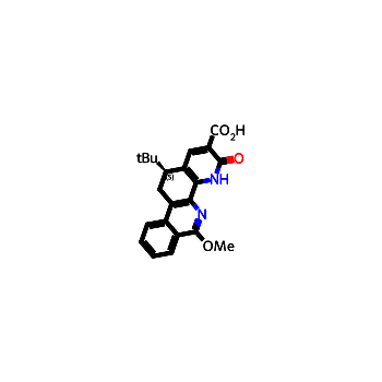 COc1nc2c(c3ccccc13)C[C@@H](C(C)(C)C)c1cc(C(=O)O)c(=O)[nH]c1-2